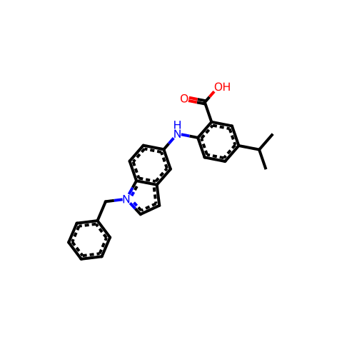 CC(C)c1ccc(Nc2ccc3c(ccn3Cc3ccccc3)c2)c(C(=O)O)c1